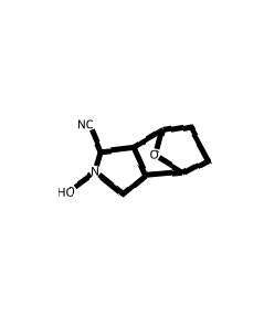 N#CC1C2C3CCC(O3)C2CN1O